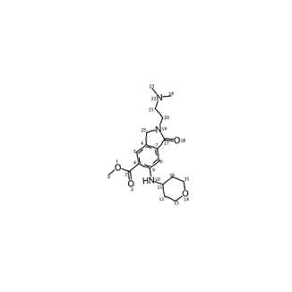 COC(=O)c1cc2c(cc1NC1CCOCC1)C(=O)N(CCN(C)C)C2